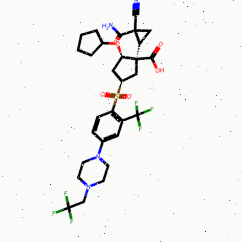 N#CC1(C(N)=O)CC1[C@]1(C(=O)O)C[C@@H](S(=O)(=O)c2ccc(N3CCN(CC(F)(F)F)CC3)cc2C(F)(F)F)C[C@H]1OC1CCCC1